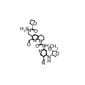 CO[C@@H]1COC[C@H]1Nc1cc(NC(=O)N2CCCc3cc(CN(C)C(=O)[C@H]4CCCO4)c(C=O)nc32)ncc1C#N